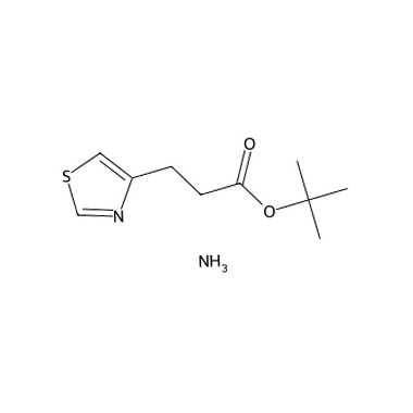 CC(C)(C)OC(=O)CCc1cscn1.N